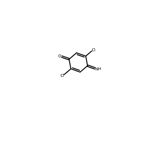 N=C1C=C(Cl)C(=O)C=C1Cl